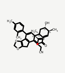 Cc1ccc(C2=C[C@@]3(C(=O)SCC#N)C(=CC(=O)C4=C[C@H](C)[C@@H](O)C[C@@]43C)C3=C2C2=C(C3)OCO2)c(C)c1